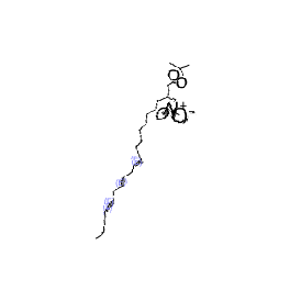 CC/C=C/C/C=C/C/C=C/CCCCCCCC(CC(=O)OC(C)(C)C)C[N+](=O)[O-]